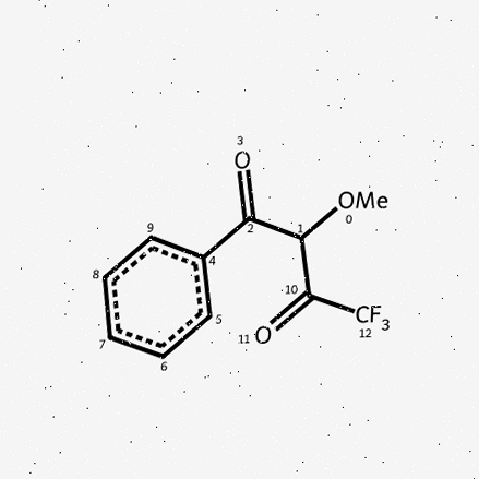 COC(C(=O)c1ccccc1)C(=O)C(F)(F)F